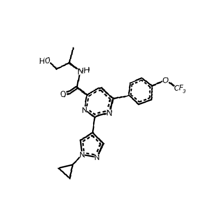 CC(CO)NC(=O)c1cc(-c2ccc(OC(F)(F)F)cc2)nc(-c2cnn(C3CC3)c2)n1